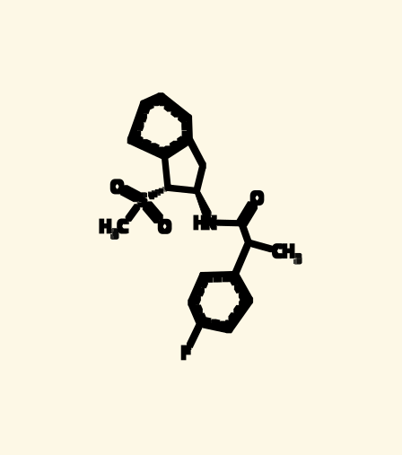 CC(C(=O)N[C@@H]1Cc2ccccc2[C@H]1S(C)(=O)=O)c1ccc(F)cc1